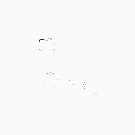 C=C(CCc1ccccc1Oc1ccccc1)C(=O)O